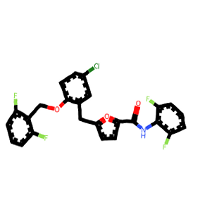 O=C(Nc1c(F)cccc1F)c1ccc(Cc2cc(Cl)ccc2OCc2c(F)cccc2F)o1